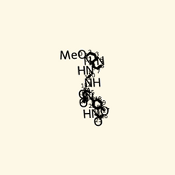 COc1ccc2nccc(NCCNC[C@@H]3CN(c4ccc5c(c4)NC(=O)CO5)C(=O)O3)c2n1